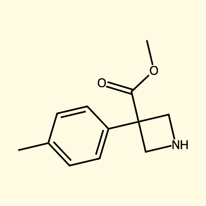 COC(=O)C1(c2ccc(C)cc2)CNC1